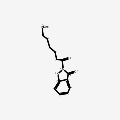 CCCCCCCCCCCCCCCC(=O)n1sc2ccccc2c1=O